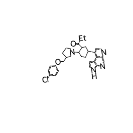 CCC(=O)C1CC(c2ccnc3cnc4[nH]ccc4c23)CCC1N1CCCC(COc2ccc(Cl)cc2)C1